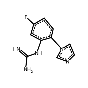 N=C(N)Nc1cc(F)ccc1-n1ccnc1